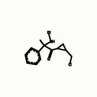 CCNC(C)(C(=O)C1CC1CCl)c1ccccc1